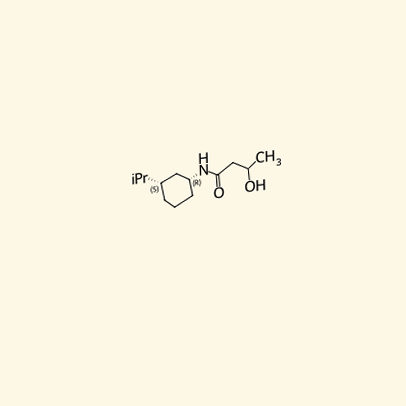 CC(O)CC(=O)N[C@@H]1CCC[C@H](C(C)C)C1